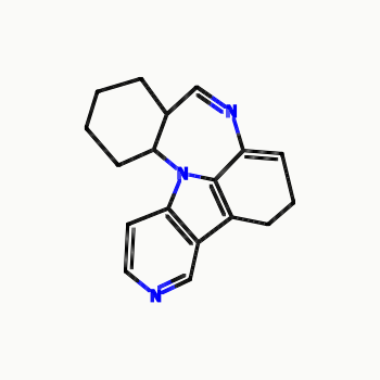 C1=NC2=CCCc3c2n(c2ccncc32)C2CCCCC12